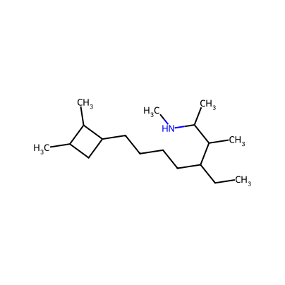 CCC(CCCCC1CC(C)C1C)C(C)C(C)NC